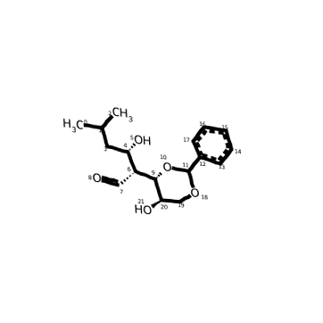 CC(C)C[C@H](O)[C@@H](C=O)[C@@H]1OC(c2ccccc2)OC[C@H]1O